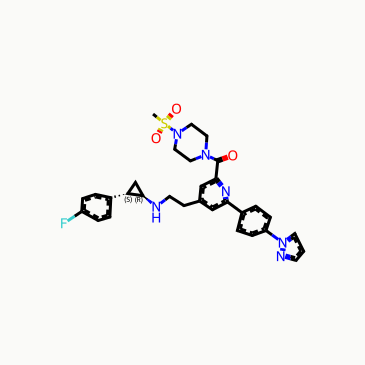 CS(=O)(=O)N1CCN(C(=O)c2cc(CCN[C@@H]3C[C@H]3c3ccc(F)cc3)cc(-c3ccc(-n4cccn4)cc3)n2)CC1